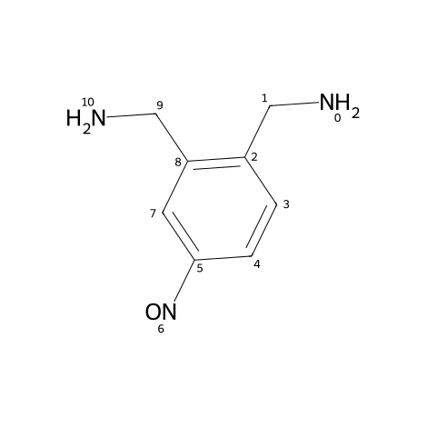 NCc1ccc(N=O)cc1CN